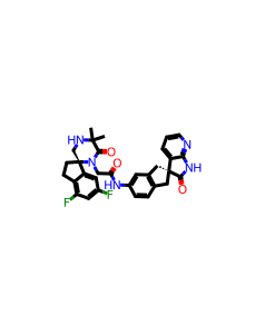 CC1(C)NC[C@@]2(CCc3c(F)cc(F)cc32)N(CC(=O)Nc2ccc3c(c2)C[C@@]2(C3)C(=O)Nc3ncccc32)C1=O